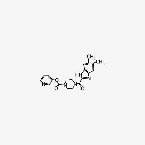 Cc1cc2nc(C(=O)N3CCN(C(=O)Oc4cccnc4)CC3)[nH]c2cc1C